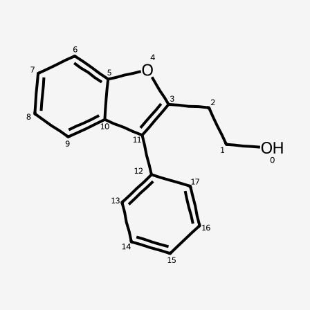 OCCc1oc2ccccc2c1-c1ccccc1